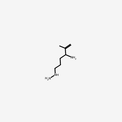 C=C(C)C(N)CCCNN